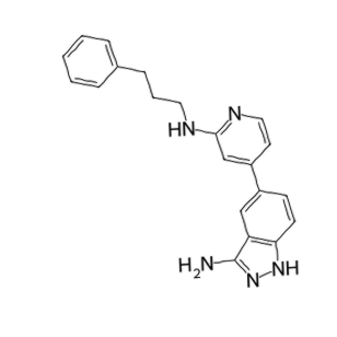 Nc1n[nH]c2ccc(-c3ccnc(NCCCc4ccccc4)c3)cc12